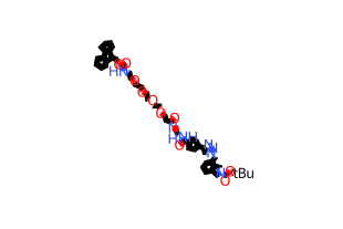 CC(C)(C)OC(=O)N1Cc2cccc(Cn3cc(-c4ccc(C(=O)NCCNC(=O)CCOCCOCCOCCOCCNC(=O)OCC5c6ccccc6-c6ccccc65)cc4)nn3)c2C1